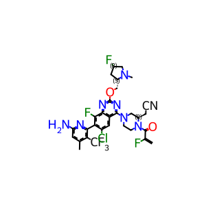 C=C(F)C(=O)N1CCN(c2nc(OC[C@@H]3C[C@@H](F)CN3C)nc3c(F)c(-c4nc(N)cc(C)c4C(F)(F)F)c(Cl)cc23)C[C@H]1CC#N